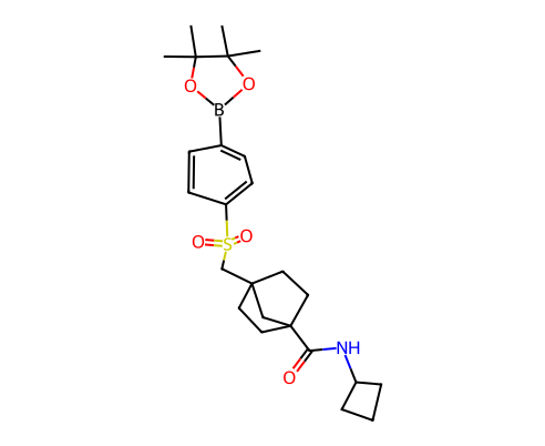 CC1(C)OB(c2ccc(S(=O)(=O)CC34CCC(C(=O)NC5CCC5)(CC3)C4)cc2)OC1(C)C